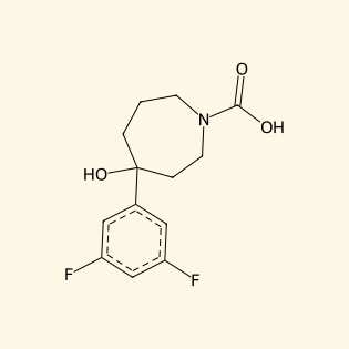 O=C(O)N1CCCC(O)(c2cc(F)cc(F)c2)CC1